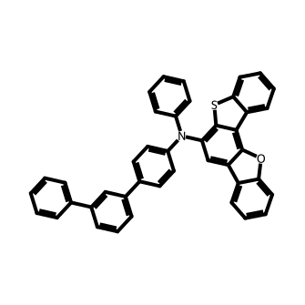 c1ccc(-c2cccc(-c3ccc(N(c4ccccc4)c4cc5c6ccccc6oc5c5c4sc4ccccc45)cc3)c2)cc1